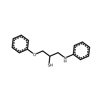 SC(CNc1ccccc1)COc1ccccc1